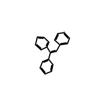 [c]1ccc(C=C(c2ccccc2)c2ccccc2)cc1